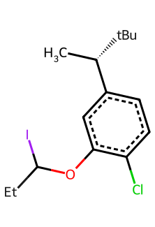 CCC(I)Oc1cc([C@H](C)C(C)(C)C)ccc1Cl